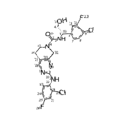 O=C(N[C@H](CO)c1ccc(Cl)c(F)c1)N1CCc2cnc(Nc3ccc(F)cc3Cl)nc2C1